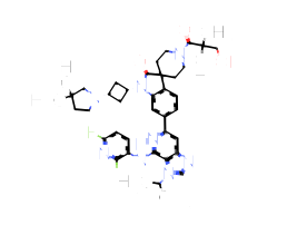 CC(C)n1cnc2cc(-c3ccc4c(c3)N([C@H]3C[C@@H](N5CCC(C)(C)C5)C3)C(=O)C43CCN(C(=O)C(C)(C)CO)CC3)nc(Nc3ccc(F)nc3F)c21